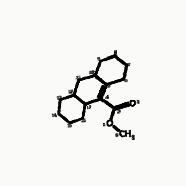 COC(=O)C1=C2CCCCC2CC2CCCCC12